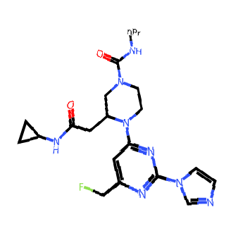 CCCNC(=O)N1CCN(c2cc(CF)nc(-n3ccnc3)n2)C(CC(=O)NC2CC2)C1